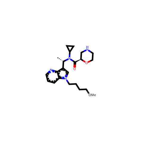 COCCCCn1cc([C@H](C)N(C(=O)[C@H]2CNCCO2)C2CC2)c2ncccc21